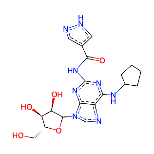 O=C(Nc1nc(NC2CCCC2)c2ncn(C3O[C@H](CO)[C@@H](O)[C@H]3O)c2n1)c1cn[nH]c1